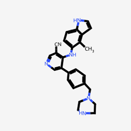 Cc1c(Nc2c(C#N)cncc2-c2ccc(CN3CCNCC3)cc2)ccc2[nH]ccc12